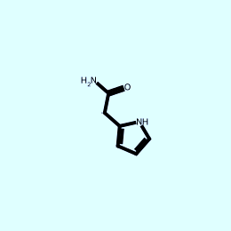 NC(=O)[CH]c1ccc[nH]1